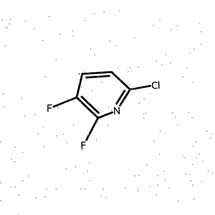 Fc1[c]cc(Cl)nc1F